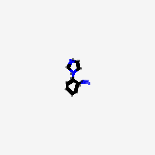 Nc1ccccc1-n1[c]ncc1